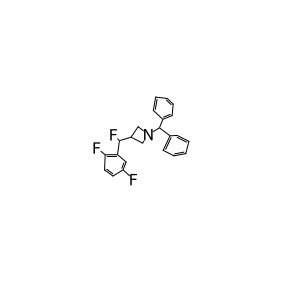 Fc1ccc(F)c(C(F)C2CN(C(c3ccccc3)c3ccccc3)C2)c1